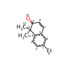 CCc1ccc2c(c1)C=CC(=O)C2(C)C